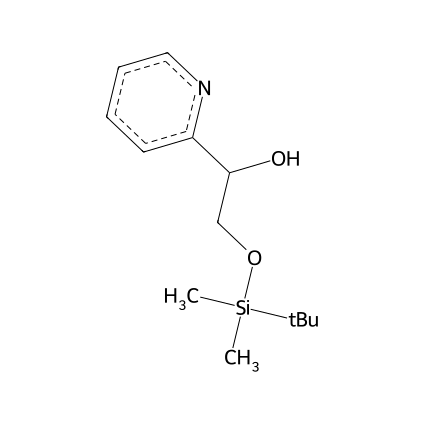 CC(C)(C)[Si](C)(C)OCC(O)c1ccccn1